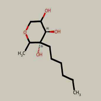 CCCCCC[C@@]1(O)C(C)OCC(O)[C@H]1O